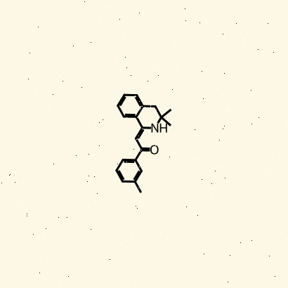 Cc1cccc(C(=O)C=C2NC(C)(C)Cc3ccccc32)c1